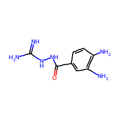 N=C(N)NNC(=O)c1ccc(N)c(N)c1